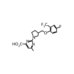 Cc1cc(C(=O)O)nc(N2CCC(COc3ccc(F)cc3C(F)(F)F)C2)n1